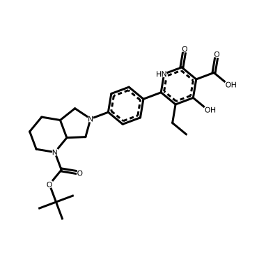 CCc1c(-c2ccc(N3CC4CCCN(C(=O)OC(C)(C)C)C4C3)cc2)[nH]c(=O)c(C(=O)O)c1O